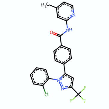 Cc1ccnc(NC(=O)c2ccc(-c3cc(C(F)(F)F)nn3-c3ccccc3Cl)cc2)c1